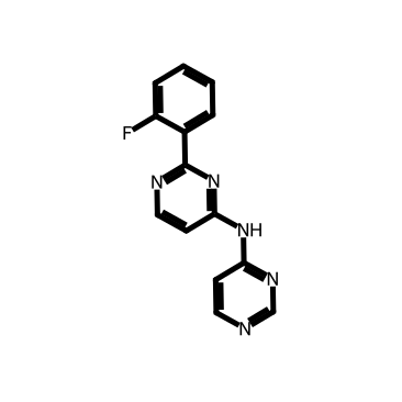 Fc1ccccc1-c1nccc(Nc2ccncn2)n1